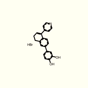 Br.Oc1ccc(-c2ccc3c(c2)CCC=C3c2ccncc2)cc1O